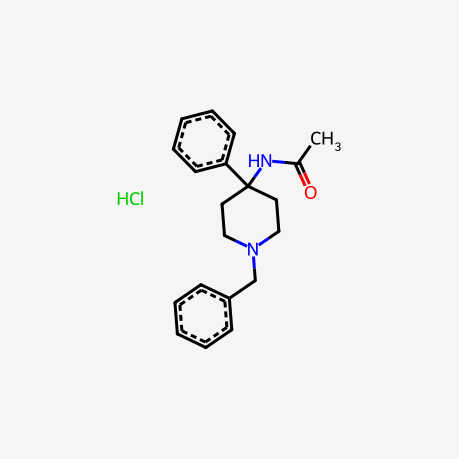 CC(=O)NC1(c2ccccc2)CCN(Cc2ccccc2)CC1.Cl